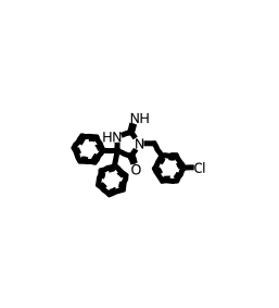 N=C1NC(c2ccccc2)(c2ccccc2)C(=O)N1Cc1cccc(Cl)c1